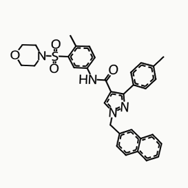 Cc1ccc(-c2nn(Cc3ccc4ccccc4c3)cc2C(=O)Nc2ccc(C)c(S(=O)(=O)N3CCOCC3)c2)cc1